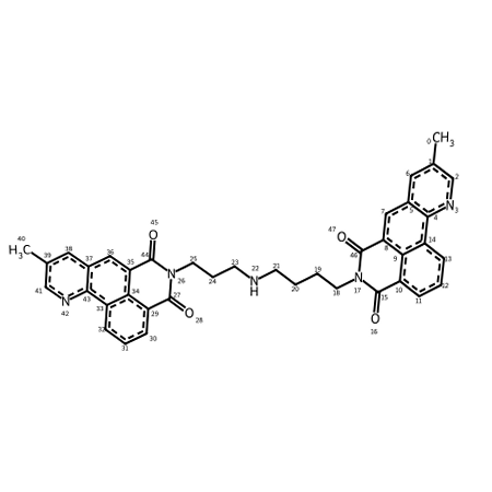 Cc1cnc2c(c1)cc1c3c(cccc32)C(=O)N(CCCCNCCCN2C(=O)c3cccc4c3c(cc3cc(C)cnc34)C2=O)C1=O